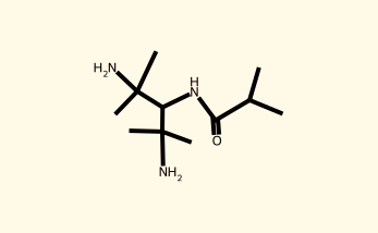 CC(C)C(=O)NC(C(C)(C)N)C(C)(C)N